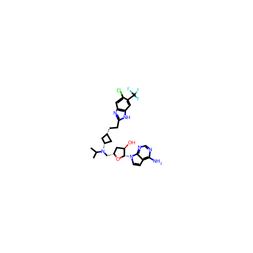 CC(C)N(C[C@@H]1C[C@@H](O)[C@H](n2ccc3c(N)ncnc32)O1)[C@H]1C[C@@H](CCc2nc3cc(Cl)c(C(F)(F)F)cc3[nH]2)C1